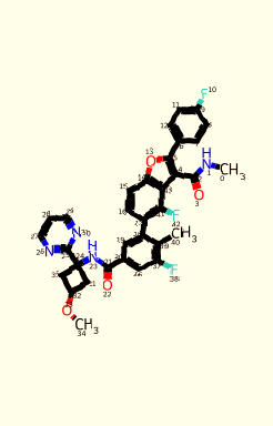 CNC(=O)c1c(-c2ccc(F)cc2)oc2ccc(-c3cc(C(=O)NC4(c5ncccn5)CC(OC)C4)cc(F)c3C)c(F)c12